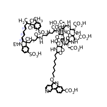 C=C(/C=C/C=C/C=C1/N(CC)c2ccc(S(=O)(=O)O)cc2C1(C)CCCC(=O)NCCCC[C@H](NC(=O)[C@H](CC(=O)O)NC(=O)[C@H](CC(=O)O)NC(=O)[C@H](CC(=O)O)NC(=O)[C@H](CC(=O)O)NC(=O)[C@H](CC(=O)O)NC(=O)[C@H](CC(=O)O)NC(=O)CCCCCCCCOc1nc2cc(C(=O)O)ccc2c2cnccc12)C(=O)O)C(C)(C)c1cc(S(=O)(=O)O)ccc1C